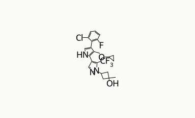 CC1(O)CC(n2ncc(-c3[nH]cc(-c4c(F)cccc4Cl)c3COC3CC3)c2C(F)(F)F)C1